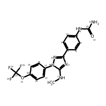 CNc1nc(-c2ccc(NC(N)=O)cc2)nn1-c1ccc(OC(F)(F)F)cc1